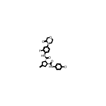 C=C1C[C@H](C(=O)Nc2ccc(Cl)cc2)[C@@H](C(=O)Nc2ccc(N3CCOCC3=O)cc2F)C1